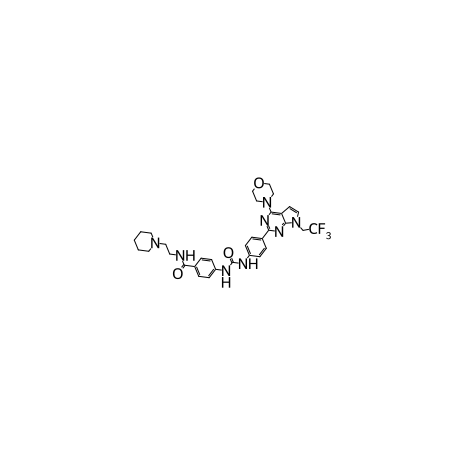 O=C(Nc1ccc(C(=O)NCCN2CCCCC2)cc1)Nc1ccc(-c2nc(N3CCOCC3)c3ccn(CC(F)(F)F)c3n2)cc1